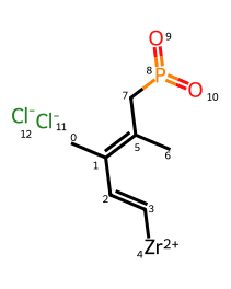 CC(C=[CH][Zr+2])=C(C)CP(=O)=O.[Cl-].[Cl-]